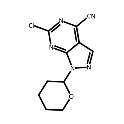 N#Cc1nc(Cl)nc2c1cnn2C1CCCCO1